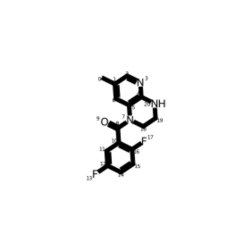 Cc1cnc2c(c1)N(C(=O)c1cc(F)ccc1F)CCN2